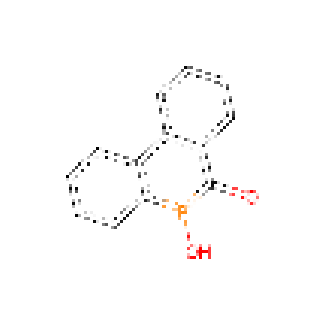 O=c1c2ccccc2c2ccccc2p1O